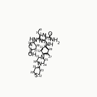 CCc1nc(C(N)=O)c(Nc2ccc(N3CCN(C4CCSCC4)CC3)c(C)c2)nc1N[C@H]1CC[C@H](O)CC1